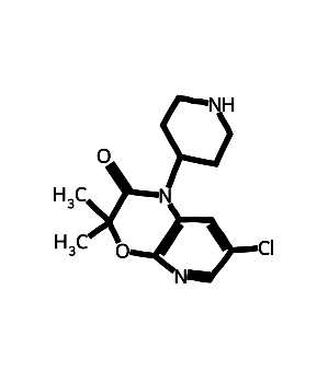 CC1(C)Oc2ncc(Cl)cc2N(C2CCNCC2)C1=O